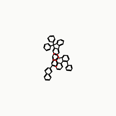 c1ccc(-c2ccccc2-c2c(-c3ccccc3)cccc2N(c2ccc(-c3ccc4ccccc4c3)cc2)c2ccc3c(c2)-c2ccccc2C3(c2ccccc2)c2ccccc2)cc1